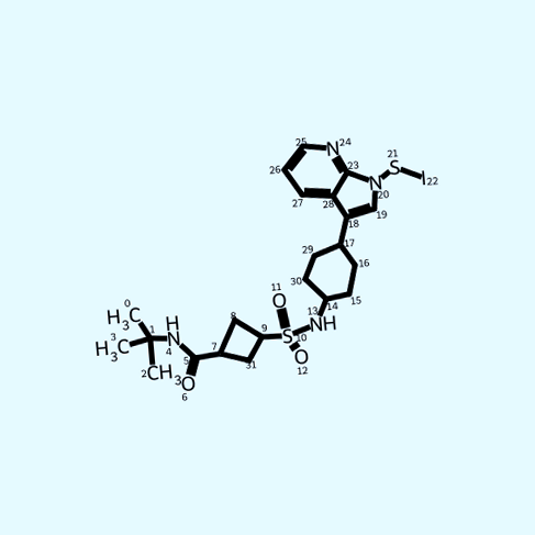 CC(C)(C)NC(=O)C1CC(S(=O)(=O)NC2CCC(c3cn(SI)c4ncccc34)CC2)C1